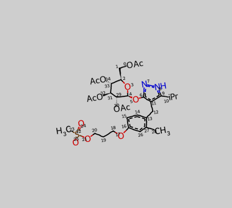 CC(=O)OC[C@H]1O[C@@H](Oc2n[nH]c(C(C)C)c2Cc2ccc(OCCCOS(C)(=O)=O)cc2C)[C@H](OC(C)=O)[C@@H](OC(C)=O)[C@@H]1OC(C)=O